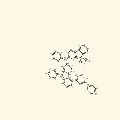 CC1(C)c2ccccc2-c2ccc(N(c3ccccc3)c3ccc4c5c(-c6cccc(-c7ccccc7)c6)cccc5n(-c5ccccc5)c4c3)cc21